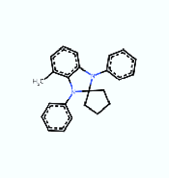 Cc1cccc2c1N(c1ccccc1)C1(CCCC1)N2c1ccccc1